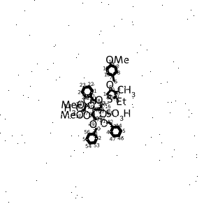 CC[C@@H]1[C@@H](C)[C@H](OCc2ccc(OC)cc2)C[S@@+]1C[C@@H](OCc1ccccc1)[C@@H](OS(=O)(=O)O)[C@@H]1OC(C)(OC)C(C)(OC)O[C@H]1[C@H](COCc1ccccc1)OCc1ccccc1